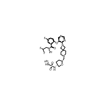 CCCNS(=O)(=O)N[C@@H]1CC[C@@H](CN2CCC3(CC2)CN(c2ncncc2Oc2ccc(F)cc2C(=O)N(CC(F)F)C(C)C)C3)OC1